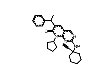 C#CC1(Nc2ncc3cc(C(C)c4ccccc4)c(=O)n(C4CCCC4)c3n2)CCCCC1